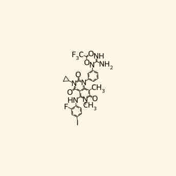 Cc1c(=O)n(C)c(Nc2ccc(I)cc2F)c2c(=O)n(C3CC3)c(=O)n(-c3cccc(N(OC(=O)C(F)(F)F)C(=N)N)c3)c12